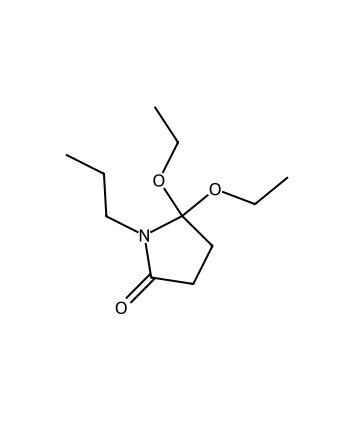 CCCN1C(=O)CCC1(OCC)OCC